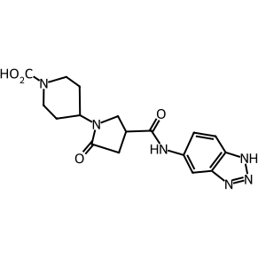 O=C(Nc1ccc2[nH]nnc2c1)C1CC(=O)N(C2CCN(C(=O)O)CC2)C1